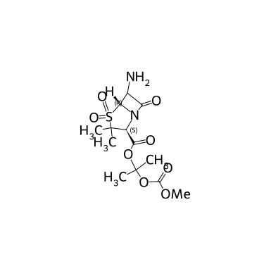 COC(=O)OC(C)(C)OC(=O)[C@@H]1N2C(=O)C(N)[C@H]2S(=O)(=O)C1(C)C